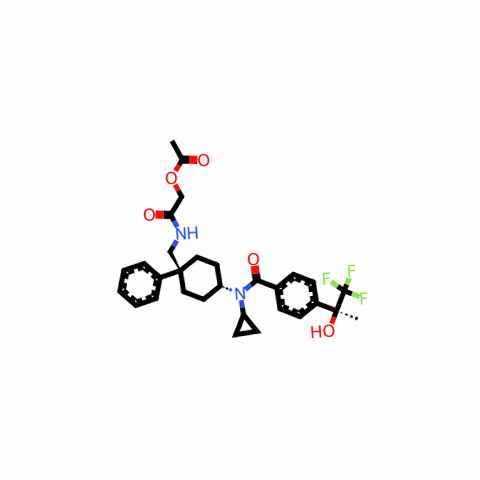 CC(=O)OCC(=O)NC[C@]1(c2ccccc2)CC[C@@H](N(C(=O)c2ccc([C@](C)(O)C(F)(F)F)cc2)C2CC2)CC1